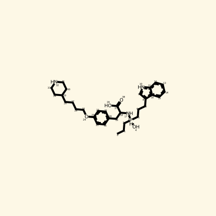 CCC[PH](O)(CCCc1c[nH]c2ccccc12)NC(Cc1ccc(OCCCCC2CCNCC2)cc1)C(=O)O